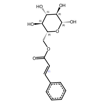 O=C(/C=C/c1ccccc1)OC[C@H]1O[C@@H](O)[C@H](O)[C@@H](O)[C@@H]1O